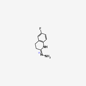 N/N=C1/CCc2cc(F)ccc2N1